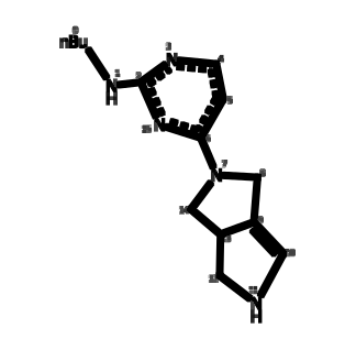 CCCCNc1nccc(N2CC3=CNCC3C2)n1